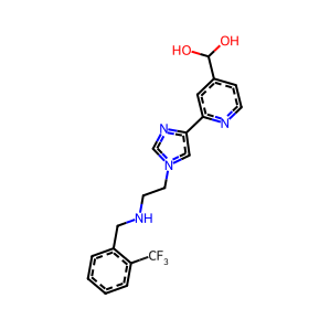 OC(O)c1ccnc(-c2cn(CCNCc3ccccc3C(F)(F)F)cn2)c1